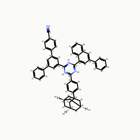 N#Cc1ccc(-c2cc(-c3ccccc3)cc(-c3nc(-c4ccc(C56C[C@H]7C[C@H](C5)C[C@@H](C6)C7)cc4)nc(-c4cc(-c5ccccc5)cc5ccccc45)n3)c2)cc1